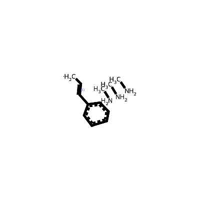 CN.CN.CN.[CH2]/C=C/c1ccccc1